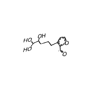 O=[C]c1occc1CCCC(O)C(O)O